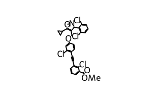 COC(=O)c1cccc(C#Cc2ccc(OCc3c(-c4c(Cl)cccc4Cl)noc3C3CC3)cc2Cl)c1Cl